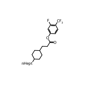 CCCCCCCC1CCC(CCC(=O)Oc2ccc(C(F)(F)F)c(F)c2)CC1